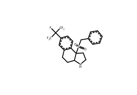 O=S(=O)(Cc1ccccc1)C12CCNC1CCc1cc(C(F)(C(F)(F)F)C(F)(F)F)ccc12